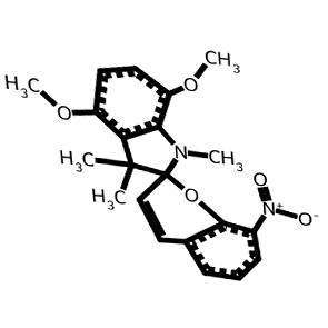 COc1ccc(OC)c2c1N(C)C1(C=Cc3cccc([N+](=O)[O-])c3O1)C2(C)C